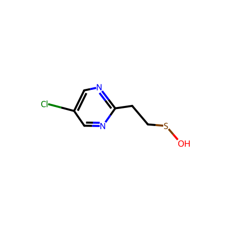 OSCCc1ncc(Cl)cn1